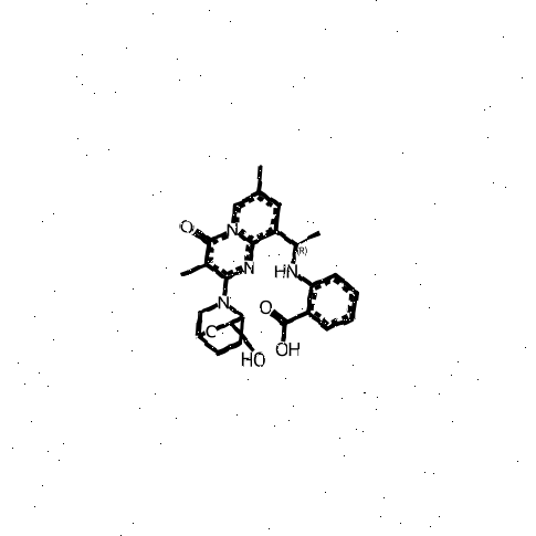 Cc1cc([C@@H](C)Nc2ccccc2C(=O)O)c2nc(N3CC4CCC3C(O)C4)c(C)c(=O)n2c1